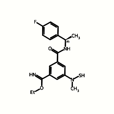 CCOC(=N)c1cc(C(=O)N[C@H](C)c2ccc(F)cc2)cc(N(C)S)c1